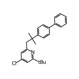 CC(C)(C)c1cc(Cl)cc(CC(C)(C)c2ccc(-c3ccccc3)cc2)n1